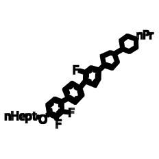 CCCCCCCOc1ccc(-c2ccc(-c3ccc(C4=CCC(C5CCC(CCC)CC5)CC4)cc3F)cc2)c(F)c1F